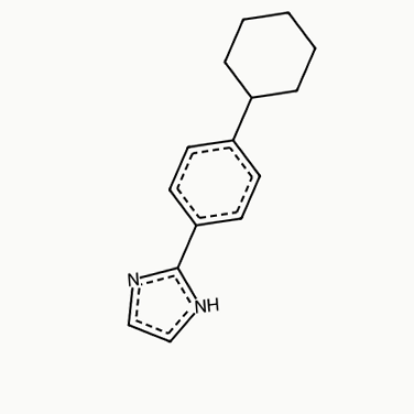 c1c[nH]c(-c2ccc(C3CCCCC3)cc2)n1